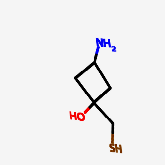 NC1CC(O)(CS)C1